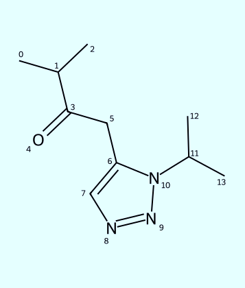 CC(C)C(=O)Cc1cnnn1C(C)C